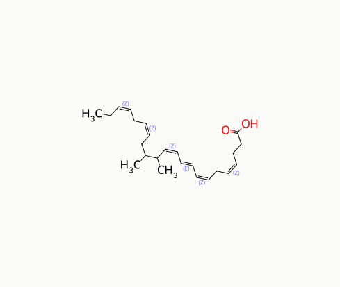 CC/C=C\C/C=C\CC(C)C(C)\C=C/C=C/C=C\C/C=C\CCC(=O)O